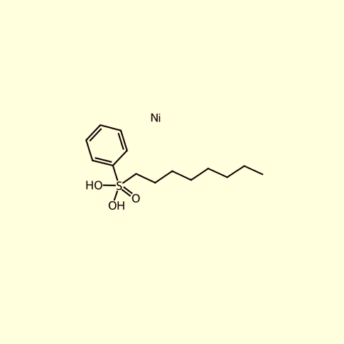 CCCCCCCCS(=O)(O)(O)c1ccccc1.[Ni]